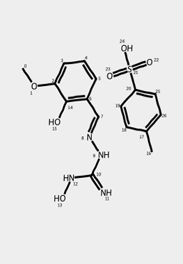 COc1cccc(/C=N/NC(=N)NO)c1O.Cc1ccc(S(=O)(=O)O)cc1